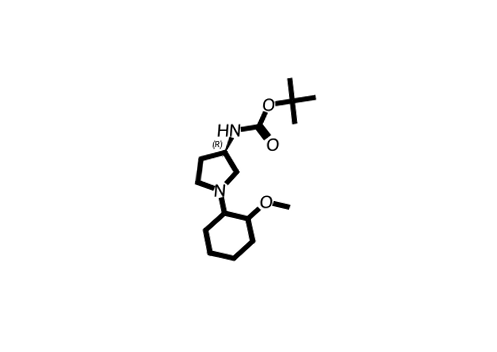 COC1CCCCC1N1CC[C@@H](NC(=O)OC(C)(C)C)C1